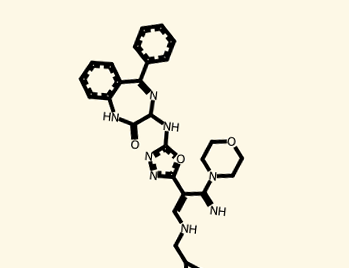 N=C(/C(=C\NCC1CC1)c1nnc(NC2N=C(c3ccccc3)c3ccccc3NC2=O)o1)N1CCOCC1